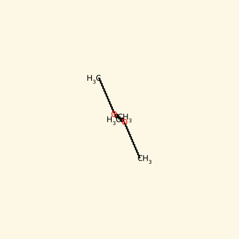 CCCCCCCCCCCCCCCCCCCCCCCCCCCCOc1ccc(C(C)(C)c2ccc(OCCCCCCCCCCCCCCCCCCCCCCCCCCCC)cc2)cc1